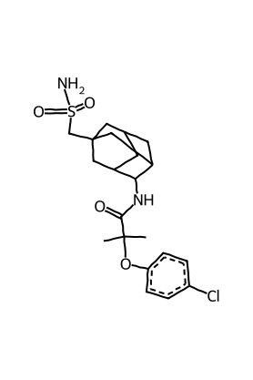 CC(C)(Oc1ccc(Cl)cc1)C(=O)NC1C2CC3CC1CC(CS(N)(=O)=O)(C3)C2